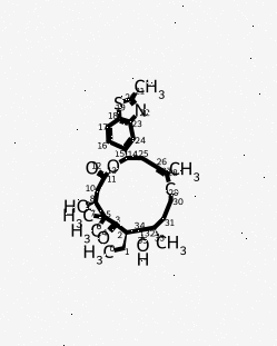 CC[C@H]1C(=O)C(C)(C)[C@@H](O)CC(=O)O[C@H](c2ccc3sc(C)nc3c2)C/C=C(/C)CCC[C@H](C)[C@@H]1O